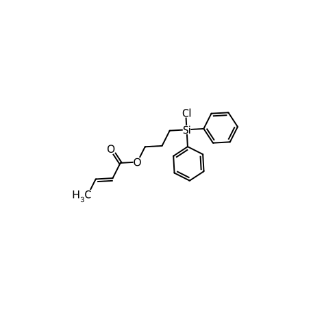 CC=CC(=O)OCCC[Si](Cl)(c1ccccc1)c1ccccc1